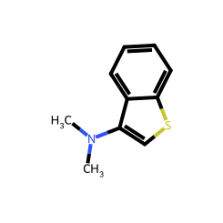 CN(C)c1csc2ccccc12